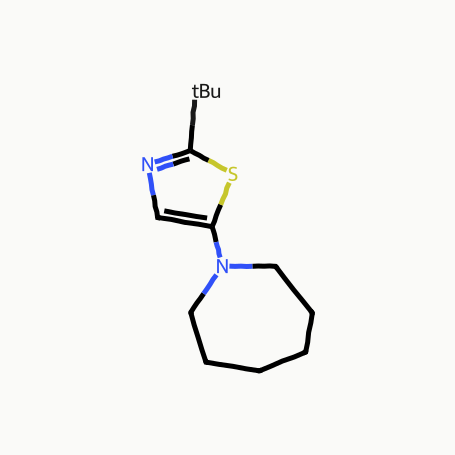 CC(C)(C)c1ncc(N2CCCCCC2)s1